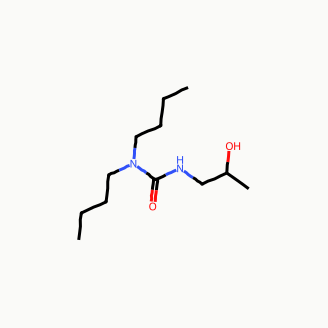 CCCCN(CCCC)C(=O)NCC(C)O